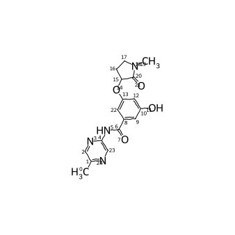 Cc1cnc(NC(=O)c2cc(O)cc(OC3CCN(C)C3=O)c2)cn1